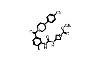 Cc1ccc(C(=O)N2CCC(c3ccc(C#N)cc3)CC2)cc1NC(=O)NC1CN(C(=O)OC(C)(C)C)C1